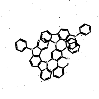 CCc1c(-c2ccccc2F)c(-n2c3ccccc3c3ccc4c(c5ccccc5n4-c4ccccc4)c32)cc(-n2c3ccccc3c3ccc4c(c5ccccc5n4-c4ccccc4)c32)c1-c1ccccc1F